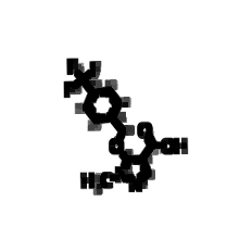 Cn1ncc(C(=O)O)c1OCc1ccc(C(F)(F)F)cc1